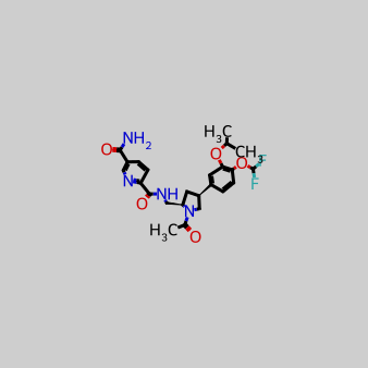 CC(=O)N1C[C@H](c2ccc(OC(F)F)c(OC(C)C)c2)C[C@@H]1CNC(=O)c1ccc(C(N)=O)cn1